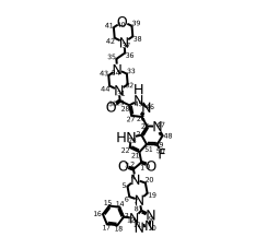 O=C(C(=O)N1CCN(c2nnnn2-c2ccccc2)CC1)c1c[nH]c2c(-c3cc(C(=O)N4CCN(CCN5CCOCC5)CC4)[nH]n3)ncc(F)c12